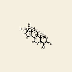 CC12C=CC(=O)C(Cl)=C1CCC1C2CCC2(C)C1CCC2(C)O